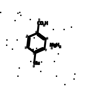 CC(C)(C)c1ccc(C(=O)O)cc1.[MgH2]